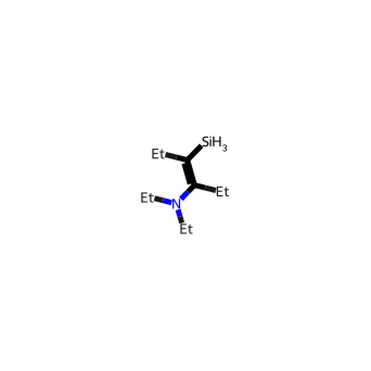 CCC([SiH3])=C(CC)N(CC)CC